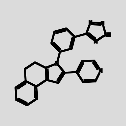 c1cc(-c2nn[nH]n2)cc(-n2c(-c3ccncc3)cc3c2CCc2ccccc2-3)c1